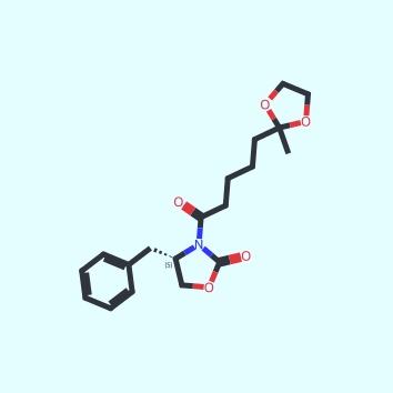 CC1(CCCCC(=O)N2C(=O)OC[C@@H]2Cc2ccccc2)OCCO1